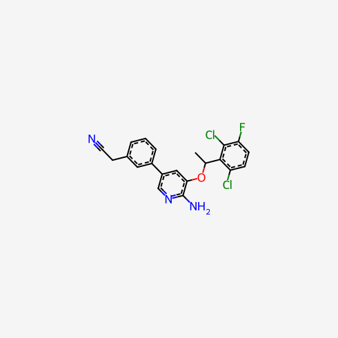 CC(Oc1cc(-c2cccc(CC#N)c2)cnc1N)c1c(Cl)ccc(F)c1Cl